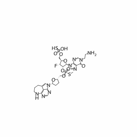 CSP(=O)(OC[C@@H]1CC[C@H](n2cc3c4c(ncnc42)NCCC3)O1)O[C@@H]1[C@H](F)[C@@H](COP(=O)(O)S)O[C@H]1n1cnc2c(=O)n(CCN)cnc21